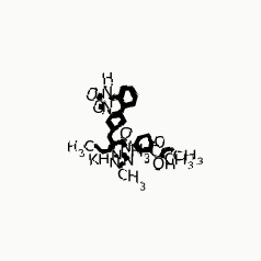 CCCc1c(Cc2ccc(-c3ccccc3-c3noc(=O)[nH]3)cc2)c(=O)n([C@H]2CC[C@H](OC(CC)C(C)(C)O)CC2)c2nc(C)nn12.[KH]